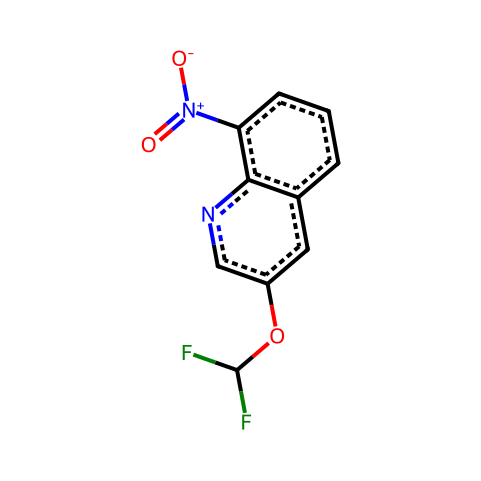 O=[N+]([O-])c1cccc2cc(OC(F)F)cnc12